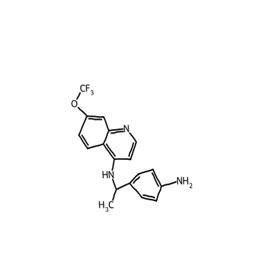 CC(Nc1ccnc2cc(OC(F)(F)F)ccc12)c1ccc(N)cc1